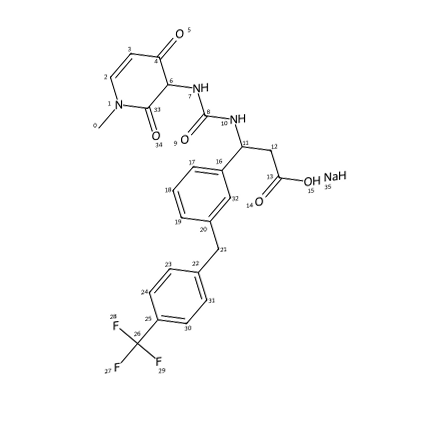 CN1C=CC(=O)C(NC(=O)NC(CC(=O)O)c2cccc(Cc3ccc(C(F)(F)F)cc3)c2)C1=O.[NaH]